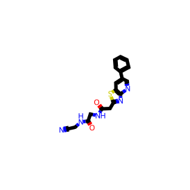 N#CCNC(=O)CNC(=O)Cc1nc2ncc(-c3ccccc3)cc2s1